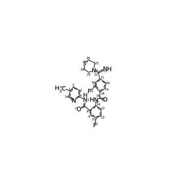 Cc1ccc(NC(=O)c2cc(F)ccc2NC(=O)c2ccc(C(=N)N3CCSCC3)cc2F)nc1